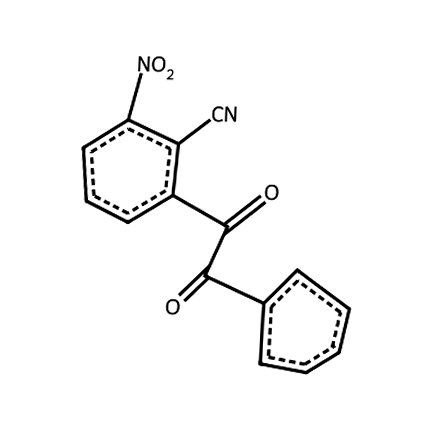 N#Cc1c(C(=O)C(=O)c2ccccc2)cccc1[N+](=O)[O-]